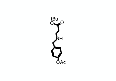 CC(=O)Oc1ccc(CNCCC(=O)OC(C)(C)C)cc1